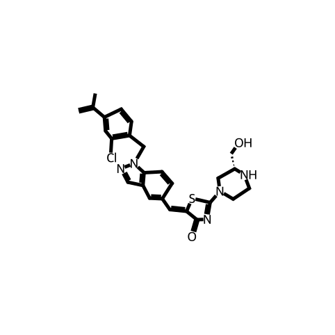 C=C(C)c1ccc(Cn2ncc3cc(/C=C4\SC(N5CCN[C@@H](CO)C5)=NC4=O)ccc32)c(Cl)c1